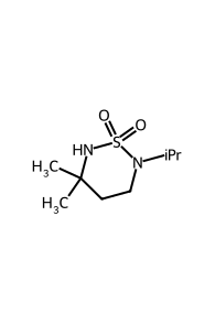 CC(C)N1CCC(C)(C)NS1(=O)=O